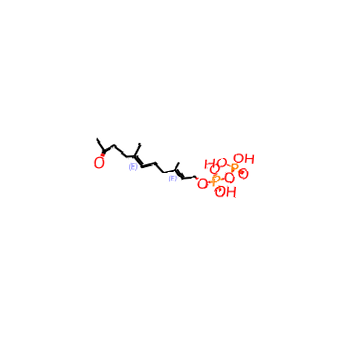 CC(=O)CC/C(C)=C/CC/C(C)=C/COP(=O)(O)OP(=O)(O)O